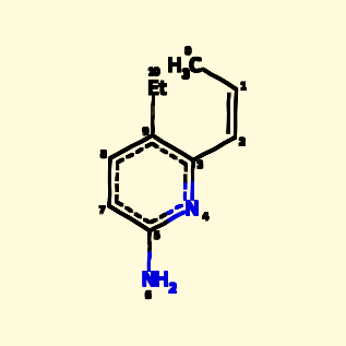 C/C=C\c1nc(N)ccc1CC